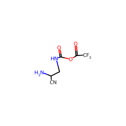 N#CC(N)CNC(=O)OC(=O)C(F)(F)F